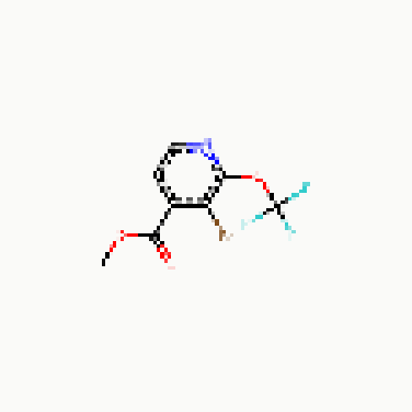 COC(=O)c1ccnc(OC(F)(F)F)c1Br